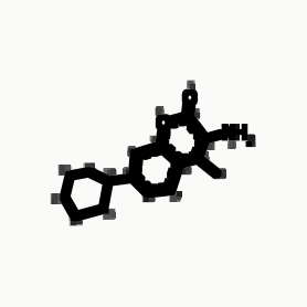 Cc1c(N)c(=O)oc2cc(C3CCCCC3)ccc12